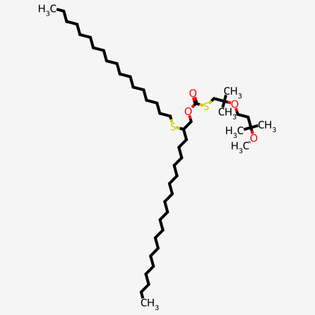 CCCCCCCCCCCCCCCCCCCC(COC(=O)SCC(C)(C)OCCC(C)(C)OC)SCCCCCCCCCCCCCCCCCC